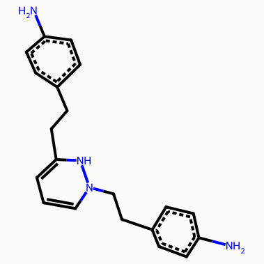 Nc1ccc(CCC2=CC=CN(CCc3ccc(N)cc3)N2)cc1